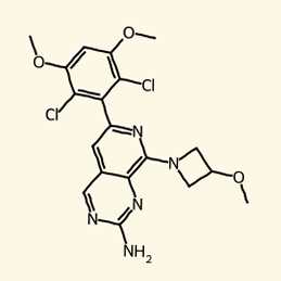 COc1cc(OC)c(Cl)c(-c2cc3cnc(N)nc3c(N3CC(OC)C3)n2)c1Cl